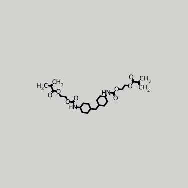 C=C(C)C(=O)OCCOC(=O)NC1CCC(CC2CCC(NC(=O)OCCOC(=O)C(=C)C)CC2)CC1